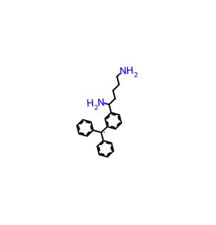 NCCCCC(N)c1cccc([C](c2ccccc2)c2ccccc2)c1